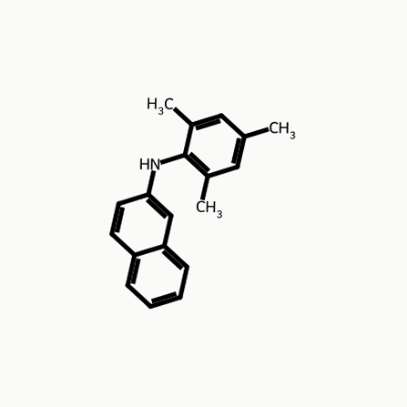 Cc1cc(C)c(Nc2ccc3ccccc3c2)c(C)c1